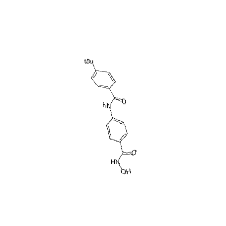 CC(C)(C)c1ccc(C(=O)Nc2ccc(C(=O)NO)cc2)cc1